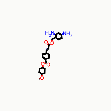 COC1CCC(OC(=O)c2ccc(/C=C/C(=O)OCc3ccc(N)cc3N)cc2)CC1